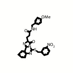 COc1ccc(CNC(=O)CCC2N=C3c4ccccc4N=C(SCc4cccc([N+](=O)[O-])c4)N3C2=O)cc1